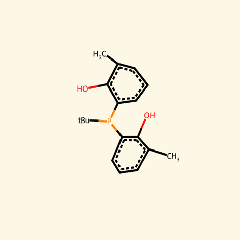 Cc1cccc(P(c2cccc(C)c2O)C(C)(C)C)c1O